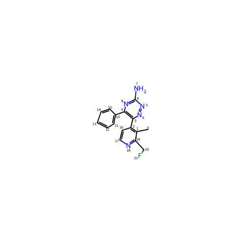 Cc1c(-c2nnc(N)nc2-c2ccccc2)ccnc1CF